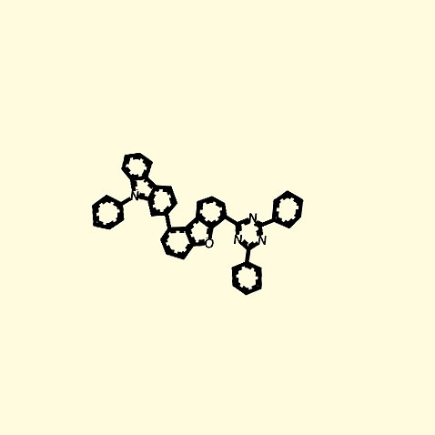 c1ccc(-c2nc(-c3ccccc3)nc(-c3cccc4c3oc3cccc(-c5ccc6c7ccccc7n(-c7ccccc7)c6c5)c34)n2)cc1